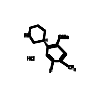 COc1cc(C(F)(F)F)c(F)cc1[C@H]1CCCNC1.Cl